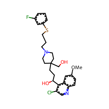 COc1ccc2ncc(Cl)c([C@@H](O)CCC3(CO)CCN(CCCSc4cccc(F)c4)CC3)c2c1